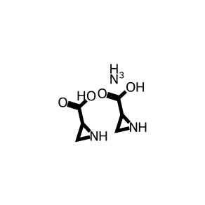 N.O=C(O)C1CN1.O=C(O)C1CN1